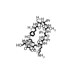 CC(C)[C@H](NC(=O)[C@H](C)NC(=O)[C@@H](N)Cc1ccc(O)cc1)C(=O)N[C@@H](C)C(=O)N[C@H](C(=O)N[C@H](C(=O)N[C@@H](CCCCN)C(=O)N[C@@H](CCCCN)C(=O)N[C@@H](CC(=O)O)C(=O)N[C@@H](CO)C(=O)O)C(C)C)C(C)C